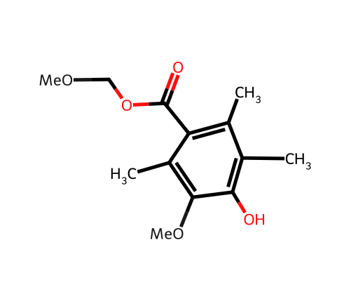 COCOC(=O)c1c(C)c(C)c(O)c(OC)c1C